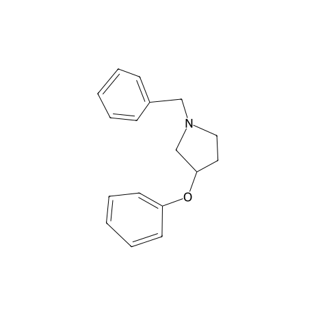 c1ccc(CN2CCC(Oc3ccccc3)C2)cc1